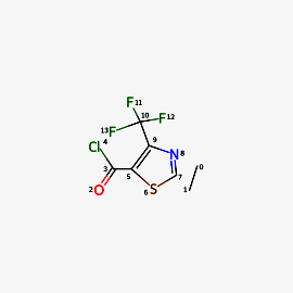 CC.O=C(Cl)c1scnc1C(F)(F)F